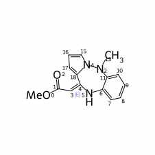 COC(=O)/C=c1/[nH]c2ccccc2n(C)n2cccc12